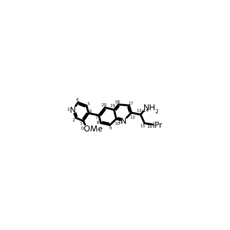 COc1cnccc1-c1ccc2nc(C(N)CC(C)C)ccc2c1